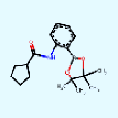 CC1(C)OB(c2ccccc2NC(=O)C2CCCC2)OC1(C)C